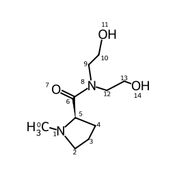 CN1CCC[C@@H]1C(=O)N(CCO)CCO